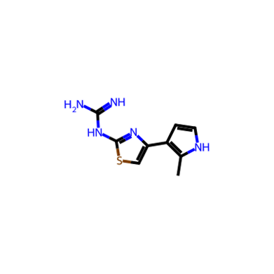 Cc1[nH]ccc1-c1csc(NC(=N)N)n1